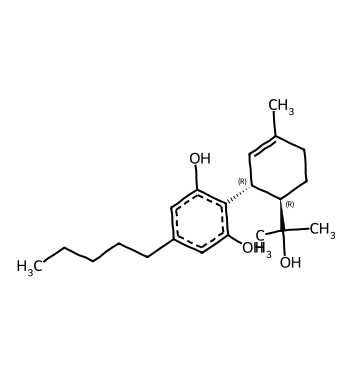 CCCCCc1cc(O)c([C@@H]2C=C(C)CC[C@H]2C(C)(C)O)c(O)c1